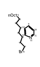 CCCCCCCCCCCCCCCBr.c1ccncc1